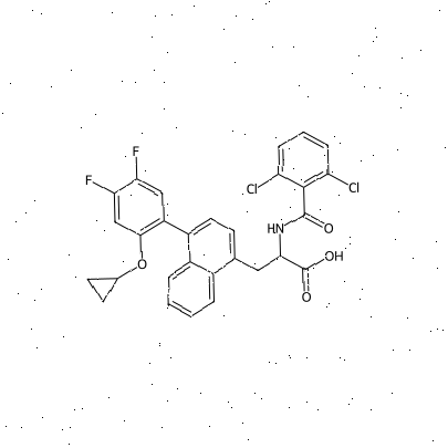 O=C(NC(Cc1ccc(-c2cc(F)c(F)cc2OC2CC2)c2ccccc12)C(=O)O)c1c(Cl)cccc1Cl